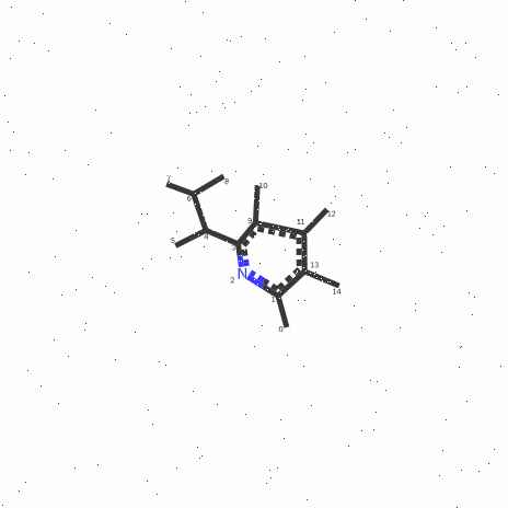 Cc1nc(C(C)C(C)C)c(C)c(C)c1C